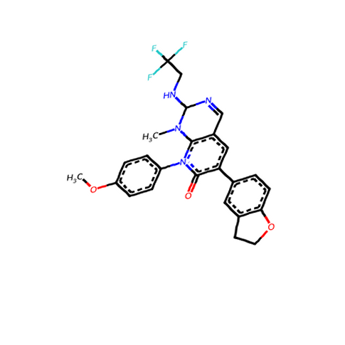 COc1ccc(-n2c3c(cc(-c4ccc5c(c4)CCO5)c2=O)C=NC(NCC(F)(F)F)N3C)cc1